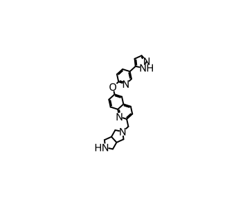 c1cc(-c2ccc(Oc3ccc4nc(CN5CC6CNCC6C5)ccc4c3)nc2)[nH]n1